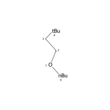 CCCCO[CH]CC(C)(C)C